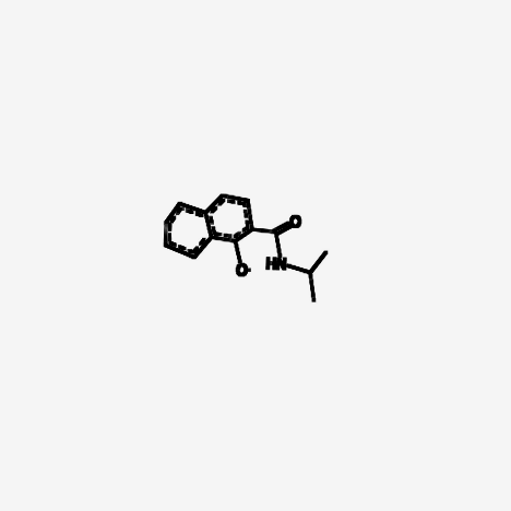 CC(C)NC(=O)c1ccc2ccccc2c1[O]